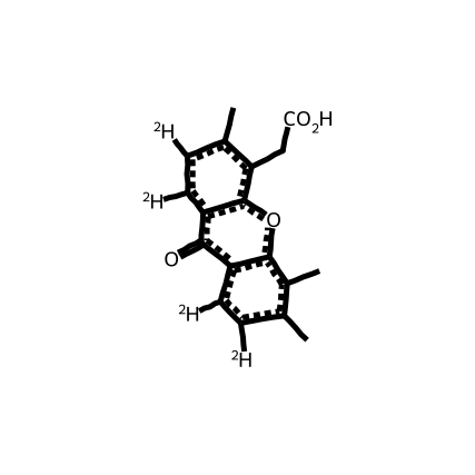 [2H]c1c(C)c(C)c2oc3c(CC(=O)O)c(C)c([2H])c([2H])c3c(=O)c2c1[2H]